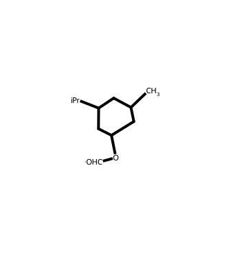 CC1CC(O[C]=O)CC(C(C)C)C1